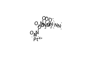 O=[N+]([O-])[O-].O=[N+]([O-])[O-].O=[N+]([O-])[O-].O=[N+]([O-])[O-].[N].[N].[N].[N].[Pt+4]